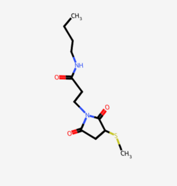 CCCCNC(=O)CCN1C(=O)CC(SC)C1=O